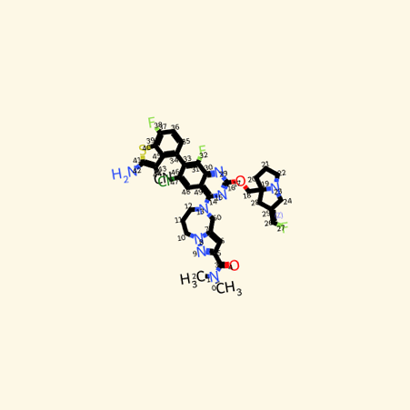 CN(C)C(=O)c1cc2n(n1)CCCN(c1nc(OCC34CCCN3C/C(=C\F)C4)nc3c(F)c(-c4ccc(F)c5sc(N)c(C#N)c45)c(Cl)cc13)C2